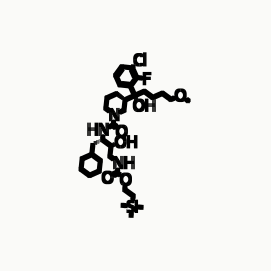 COCCCC[C@@](O)(c1cccc(Cl)c1F)[C@@H]1CCCN(C(=O)N[C@@H](CC2CCCCC2)[C@@H](O)CNC(=O)OCC[Si](C)(C)C)C1